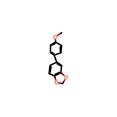 COc1ccc(-c2ccc3c(c2)OCO3)cc1